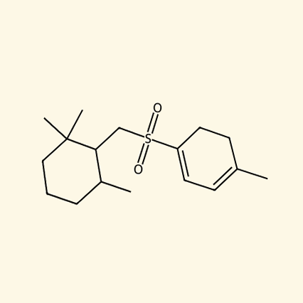 CC1=CC=C(S(=O)(=O)CC2C(C)CCCC2(C)C)CC1